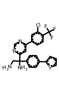 NCC(N)(c1ccc(-c2cccs2)cc1)c1cc(-c2ccc(C(F)(F)F)c(Cl)c2)ncn1